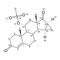 C[C@]12CCC(=O)C=C1CCC1C2[C@H](OS(C)(=O)=O)C[C@]2(C)C(=O)[C@H]3C[C@H]3C12